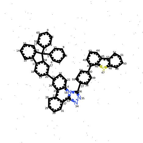 c1ccc(C2(c3ccccc3)c3ccccc3-c3ccc(-c4ccc5c(c4)c4ccccc4c4nnc(-c6ccc(-c7cccc8c7sc7ccccc78)cc6)n54)cc32)cc1